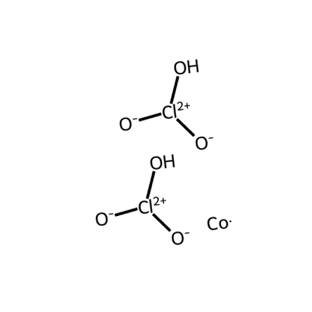 [Co].[O-][Cl+2]([O-])O.[O-][Cl+2]([O-])O